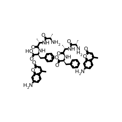 C[C@H](N)C(=O)N[C@@H](C)C(=O)N[C@@H](Cc1ccccc1)C(=O)O.C[C@H](N)C(=O)N[C@@H](C)C(=O)N[C@@H](Cc1ccccc1)C(=O)O.Cc1cc(=O)oc2cc(N)ccc12.Cc1cc(=O)oc2cc(N)ccc12